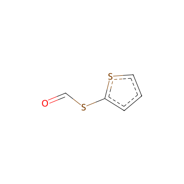 O=CSc1cccs1